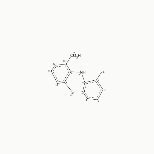 Cc1cccc2c1Nc1c(cccc1C(=O)O)S2